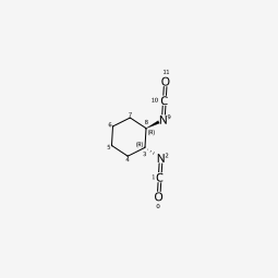 O=C=N[C@@H]1CCCC[C@H]1N=C=O